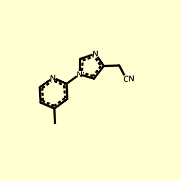 Cc1ccnc(-n2cnc(CC#N)c2)c1